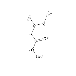 CCCCOC(=O)CC(CC)OCCC